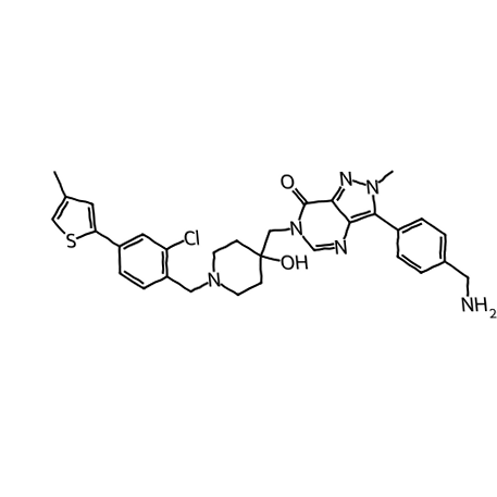 Cc1csc(-c2ccc(CN3CCC(O)(Cn4cnc5c(-c6ccc(CN)cc6)n(C)nc5c4=O)CC3)c(Cl)c2)c1